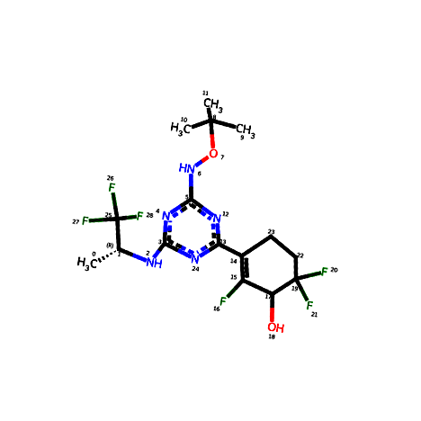 C[C@@H](Nc1nc(NOC(C)(C)C)nc(C2=C(F)C(O)C(F)(F)CC2)n1)C(F)(F)F